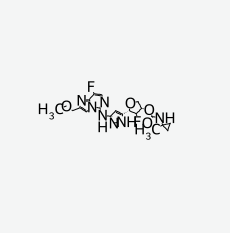 COCc1cn2c(Nc3cc([C@@H]4OC[C@H](OC(=O)NC5(C)CC5)[C@H]4F)[nH]n3)ncc(F)c2n1